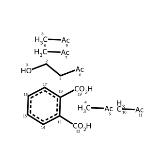 CC(=O)CCO.CC(C)=O.CC(C)=O.CC(C)=O.CC(C)=O.O=C(O)c1ccccc1C(=O)O